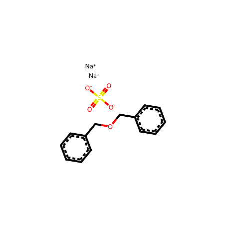 O=S(=O)([O-])[O-].[Na+].[Na+].c1ccc(COCc2ccccc2)cc1